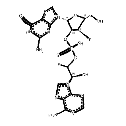 Nc1nc2c(ncn2[C@@H]2O[C@H](CO)[C@@H](F)[C@H]2OP(=S)(S)OC(F)[C@@H](O)n2cnc3c(N)ncnc32)c(=O)[nH]1